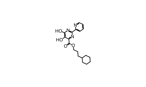 O=C(OCCCC1CCCCC1)c1nc(-c2ccccn2)nc(O)c1O